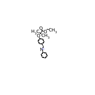 CCOC(=O)C(C)(C)Oc1ccc(/C=N/c2ccccc2)cc1